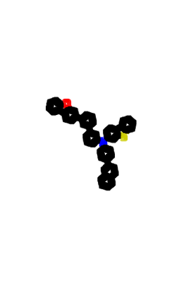 c1cc(-c2cccc(N(c3ccc(-c4ccc5ccccc5c4)cc3)c3ccc4c(c3)sc3ccccc34)c2)cc(-c2ccc3c(c2)oc2ccccc23)c1